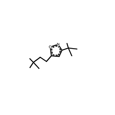 CC(C)(C)CCc1cc(C(C)(C)C)no1